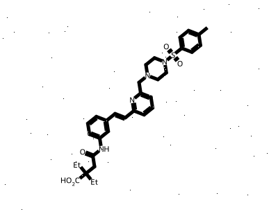 CCC(CC)(CC(=O)Nc1cccc(/C=C/c2cccc(CN3CCN(S(=O)(=O)c4ccc(C)cc4)CC3)n2)c1)C(=O)O